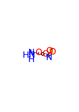 Cc1cc(CC(=O)CC/C(C=N)=C/NC(C)(C)C)ccc1Oc1ccnc2ccc(S(=O)(=O)C(C)C)cc12